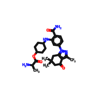 CC(N)C(=O)OC1CCC(Nc2cc(-n3nc(C(F)(F)F)c4c3CC(C)(C)CC4=O)ccc2C(N)=O)CC1